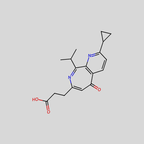 CC(C)c1nc(CCC(=O)O)cc(=O)c2ccc(C3CC3)nc12